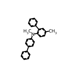 Cc1ccc(N(C)c2ccc(-c3ccccc3)cc2)c(-c2ccccc2)c1